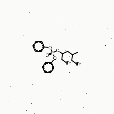 CC(C)CC(C)CC(CC(C)C)OP(=O)(Oc1ccccc1)Oc1ccccc1